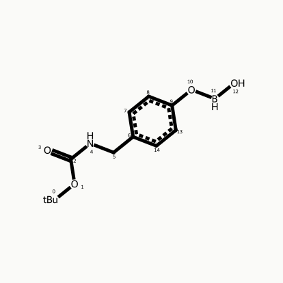 CC(C)(C)OC(=O)NCc1ccc(OBO)cc1